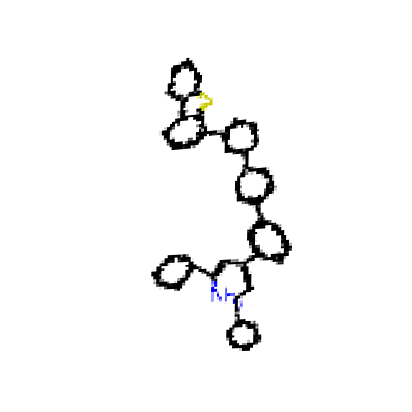 N/C(=C\C(=C/Cc1ccccc1)c1cccc(-c2ccc(-c3cccc(-c4cccc5c4sc4ccccc45)c3)cc2)c1)c1ccccc1